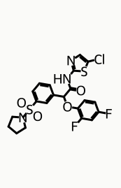 O=C(Nc1ncc(Cl)s1)C(Oc1ccc(F)cc1F)c1cccc(S(=O)(=O)N2CCCC2)c1